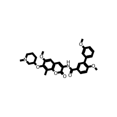 COc1cccc(-c2cc(C(=O)Nc3cc4cc(OC)c(OC5CCCN(C)C5)c(C)c4oc3=O)ccc2OC)c1